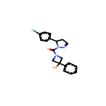 O=C(N1CC(O)(c2ccccc2)C1)N1N=CCC1c1ccc(Cl)cc1